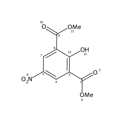 COC(=O)c1cc([N+](=O)[O-])cc(C(=O)OC)c1O